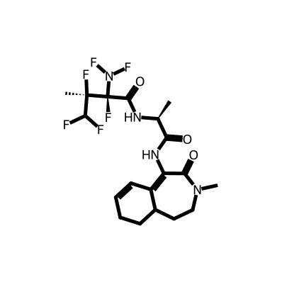 C[C@H](NC(=O)[C@@](F)(N(F)F)[C@](C)(F)C(F)F)C(=O)NC1=C2C=CCCC2CCN(C)C1=O